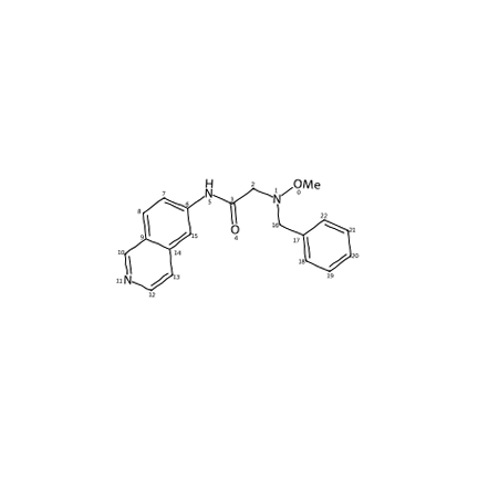 CON(CC(=O)Nc1ccc2cnccc2c1)Cc1ccccc1